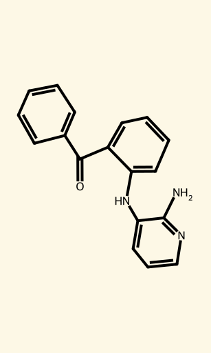 Nc1ncccc1Nc1ccccc1C(=O)c1ccccc1